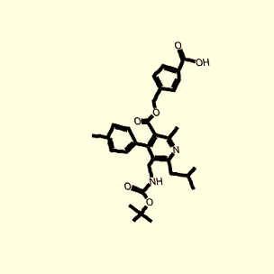 Cc1ccc(-c2c(CNC(=O)OC(C)(C)C)c(CC(C)C)nc(C)c2C(=O)OCc2ccc(C(=O)O)cc2)cc1